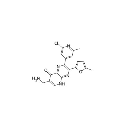 Cc1cc(-c2nc3c(=O)c(CN)c[nH]c3nc2-c2ccc(C)o2)cc(Cl)n1